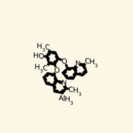 Cc1ccc2cccc(Oc3cc(C)c(O)c(C)c3Oc3cccc4ccc(C)nc34)c2n1.[AlH3]